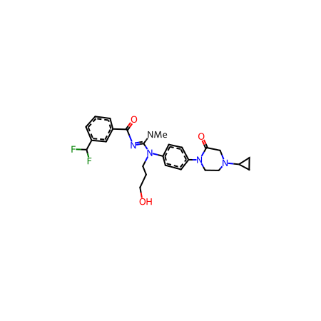 CN/C(=N\C(=O)c1cccc(C(F)F)c1)N(CCCO)c1ccc(N2CCN(C3CC3)CC2=O)cc1